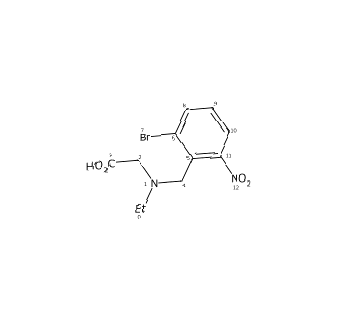 CCN(CC(=O)O)Cc1c(Br)cccc1[N+](=O)[O-]